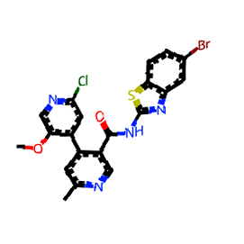 COc1cnc(Cl)cc1-c1cc(C)ncc1C(=O)Nc1nc2cc(Br)ccc2s1